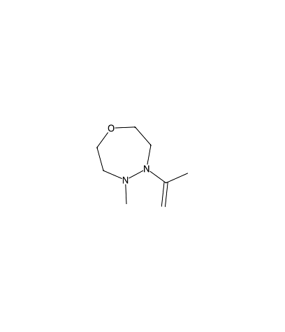 C=C(C)N1CCOCCN1C